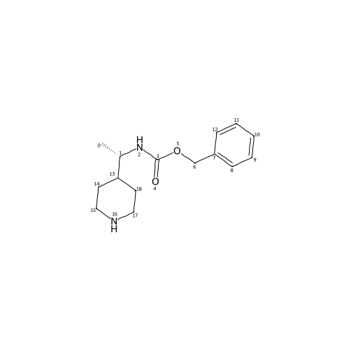 C[C@H](NC(=O)OCc1ccccc1)C1CCNCC1